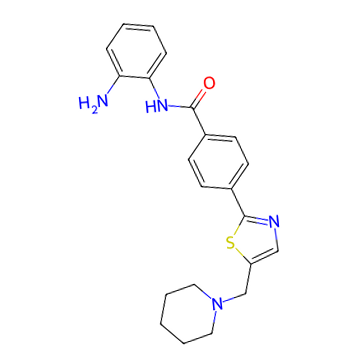 Nc1ccccc1NC(=O)c1ccc(-c2ncc(CN3CCCCC3)s2)cc1